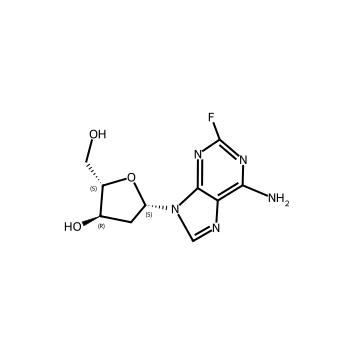 Nc1nc(F)nc2c1ncn2[C@@H]1C[C@@H](O)[C@H](CO)O1